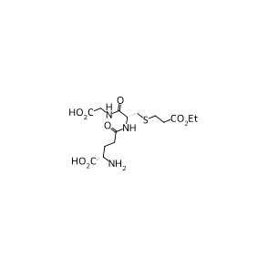 CCOC(=O)CCSC[C@H](NC(=O)CC[C@H](N)C(=O)O)C(=O)NCC(=O)O